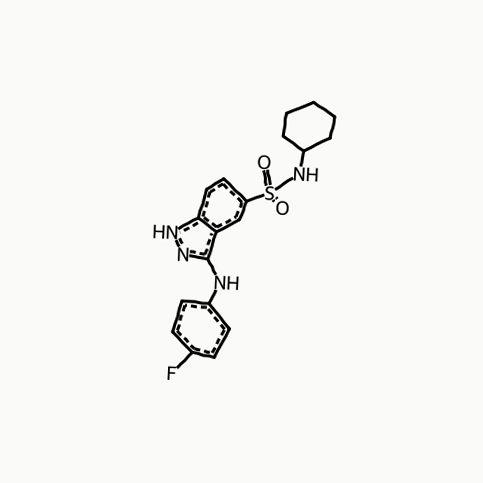 O=S(=O)(NC1CCCCC1)c1ccc2[nH]nc(Nc3ccc(F)cc3)c2c1